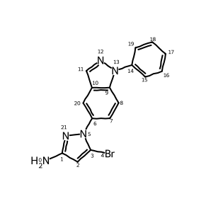 Nc1cc(Br)n(-c2ccc3c(cnn3-c3ccccc3)c2)n1